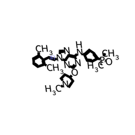 Cc1cccc(C)c1/C=C/n1cnc2c(Nc3ccc(P(C)(C)=O)cc3)nc(OC3CCN(C)CC3)nc21